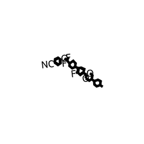 CC1CCC(C2COC(c3ccc(C4CCC(C(F)(F)Oc5ccc(C#N)cc5)CC4)c(F)c3)OC2)CC1